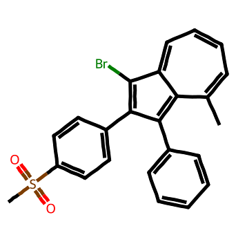 Cc1ccccc2c(Br)c(-c3ccc(S(C)(=O)=O)cc3)c(-c3ccccc3)c1-2